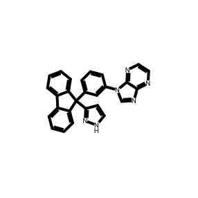 c1cc(-n2cnc3nccnc32)cc(C2(c3cc[nH]n3)c3ccccc3-c3ccccc32)c1